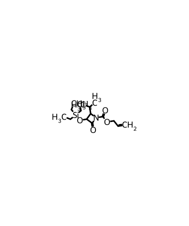 C=CCOC(=O)N1C(=O)C(O[Si](CC)(CC)CC)C1C(C)C